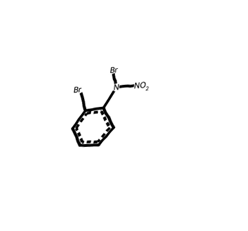 O=[N+]([O-])N(Br)c1ccccc1Br